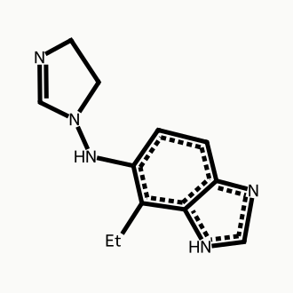 CCc1c(NN2C=NCC2)ccc2nc[nH]c12